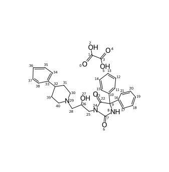 O=C(O)C(=O)O.O=C1NC(c2ccccc2)(c2ccccc2)C(=O)N1CC(O)CN1CCC(c2ccccc2)CC1